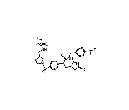 C=CS(=O)(=O)NCC1CCN(C(=O)c2ccc(C(CC3CNC(=O)C3)C(=O)NCc3ccc(C(F)(F)F)cc3)cc2)C1